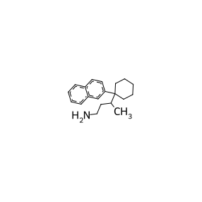 CC(CCN)C1(c2ccc3ccccc3c2)CCCCC1